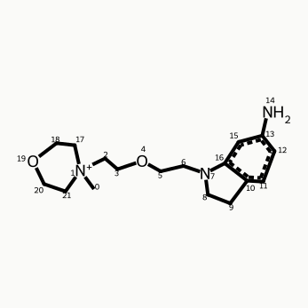 C[N+]1(CCOCCN2CCc3ccc(N)cc32)CCOCC1